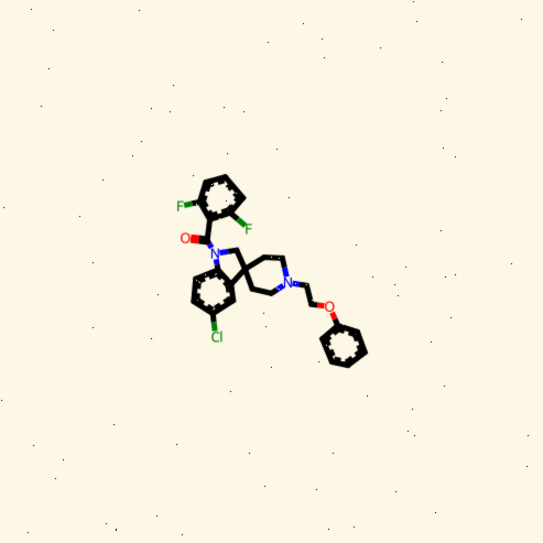 O=C(c1c(F)cccc1F)N1CC2(CCN(CCOc3ccccc3)CC2)c2cc(Cl)ccc21